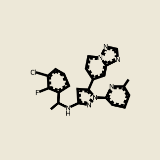 Cc1cccc(-n2nc(NC(C)c3cccc(Cl)c3F)cc2-c2ccn3ncnc3c2)n1